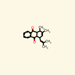 CC(C)=CC1C=C(C)C(C)C2C(=O)c3ccccc3C(=O)C12